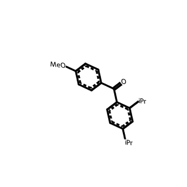 COc1ccc(C(=O)c2ccc(C(C)C)cc2C(C)C)cc1